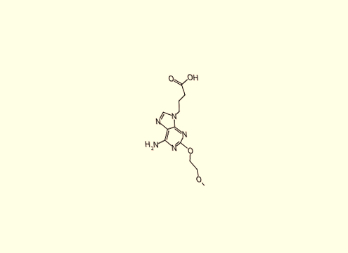 COCCOc1nc(N)c2ncn(CCCC(=O)O)c2n1